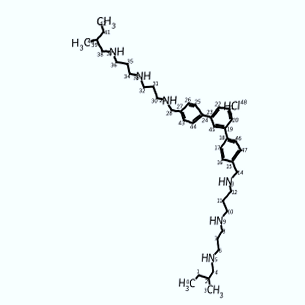 CCC(C)CNCCCNCCCNCc1ccc(-c2cccc(-c3ccc(CNCCCNCCCNCC(C)CC)cc3)c2)cc1.Cl